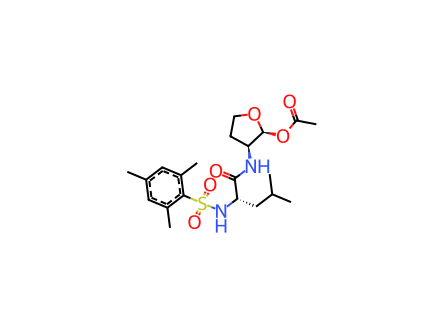 CC(=O)O[C@@H]1OCC[C@@H]1NC(=O)[C@H](CC(C)C)NS(=O)(=O)c1c(C)cc(C)cc1C